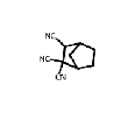 N#CC1C2CCC(C2)C1(C#N)C#N